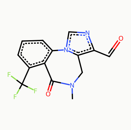 CN1Cc2c(C=O)ncn2-c2cccc(C(F)(F)F)c2C1=O